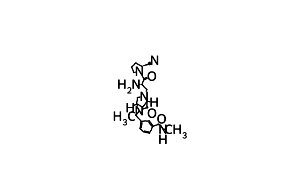 CNC(=O)c1cccc([C@@H](C)N2C(=O)[C@@H]3C[C@H]2CN3C[C@H](N)C(=O)N2CCC[C@H]2C#N)c1